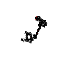 CN[C@H](C)C(=O)N[C@@H](C(=O)N1Cc2cc(OCCOCCOCCC(=O)N(C)CCn3nc(C#N)c4c3CN(C)C(=O)c3ccc(F)cc3[C@@H](C)Oc3cc-4cnc3N)ccc2C[C@@H]1C(=O)N[C@H]1CCCc2ccccc21)C(C)(C)C